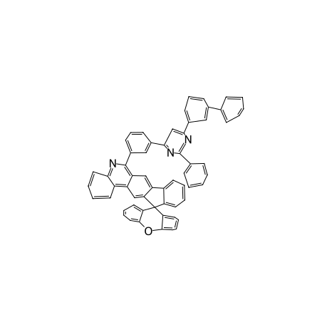 c1ccc(-c2cccc(-c3cc(-c4cccc(-c5nc6ccccc6c6cc7c(cc56)-c5ccccc5C75c6ccccc6Oc6ccccc65)c4)nc(-c4ccccc4)n3)c2)cc1